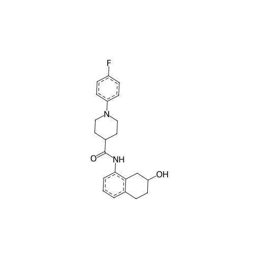 O=C(Nc1cccc2c1CC(O)CC2)C1CCN(c2ccc(F)cc2)CC1